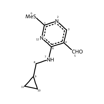 CSc1ncc(C=O)c(NCC2CC2)n1